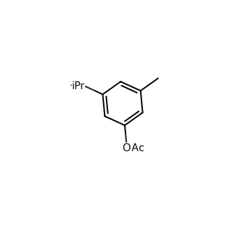 C[C](C)c1cc(C)cc(OC(C)=O)c1